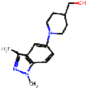 Cc1nn(C)c2ccc(N3CCC(CO)CC3)cc12